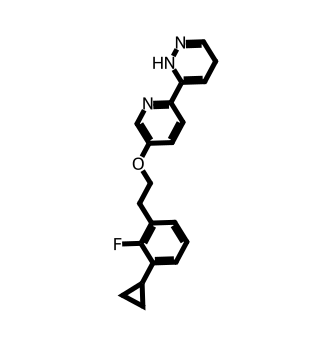 Fc1c(CCOc2ccc(C3=CCC=NN3)nc2)cccc1C1CC1